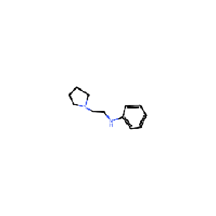 c1ccc(NCCN2CCCC2)cc1